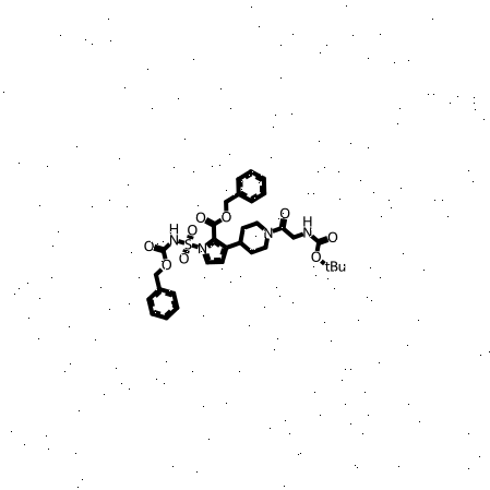 CC(C)(C)OC(=O)NCC(=O)N1CCC(c2ccn(S(=O)(=O)NC(=O)OCc3ccccc3)c2C(=O)OCc2ccccc2)CC1